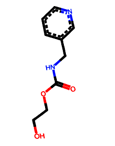 O=C(NCc1cccnc1)OCCO